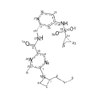 CCCC1CCN1c1ncc(C(=O)NCc2cc(NS(=O)(=O)C3CC3)ccn2)nc1C